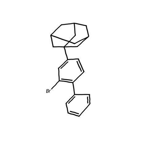 Brc1cc(C23CC4CC(CC(C4)C2)C3)ccc1-c1ccccc1